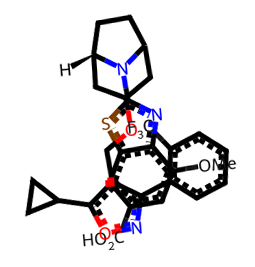 COc1cc(C(=O)O)cc2sc(N3C4CC[C@H]3CC(OCc3c(-c5ccccc5C(F)(F)F)noc3C3CC3)C4)nc12